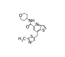 Cc1ncc(Cc2cc(C(=O)NC3CCOCC3)nc3ccsc23)s1